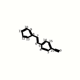 C#Cc1ccc(/C=C/c2ccccc2)cc1